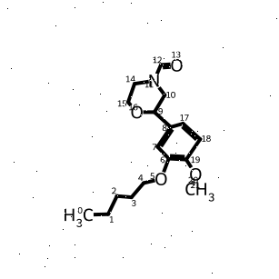 CCCCCOc1cc(C2CN(C=O)CCO2)ccc1OC